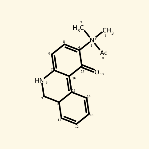 CC(=O)[N+](C)(C)C1=CC=C2NCC3C=CC=CC3=C2C1=O